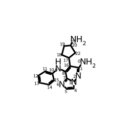 Nc1nn2ccnc2c(Nc2ccccc2)c1C1CCC(N)C1